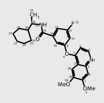 COc1cc2nccc(Oc3cc(F)cc(C(=O)N[C@H](C)C4CCCCC4)c3)c2cc1OC